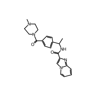 CC(NC(=O)c1cn2ccccc2n1)c1ccc(C(=O)N2CCN(C)CC2)cc1